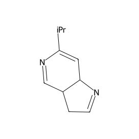 CC(C)C1=CC2N=CCC2C=N1